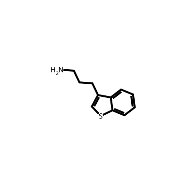 NCCCc1csc2ccccc12